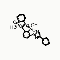 O=S(=O)(O)c1ccccc1C=Cc1cccc(-n2ncc(-c3ccccc3)n2)c1S(=O)(=O)O